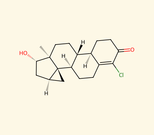 C[C@]12CC[C@H]3[C@@H](CCC4=C(Cl)C(=O)CC[C@@H]43)[C@@]13C[C@H]3C[C@@H]2O